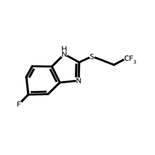 Fc1ccc2[nH]c(SCC(F)(F)F)nc2c1